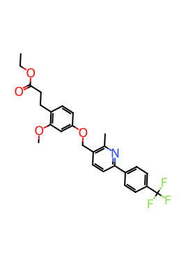 CCOC(=O)CCc1ccc(OCc2ccc(-c3ccc(C(F)(F)F)cc3)nc2C)cc1OC